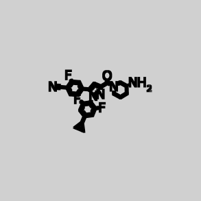 N#Cc1ccc(-c2cc(C(=O)N3CCC[C@@H](N)C3)nn2-c2c(F)cc(C3CC3)cc2F)cc1F